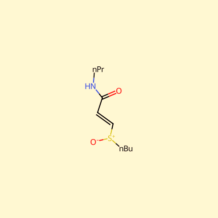 CCCC[S+]([O-])C=CC(=O)NCCC